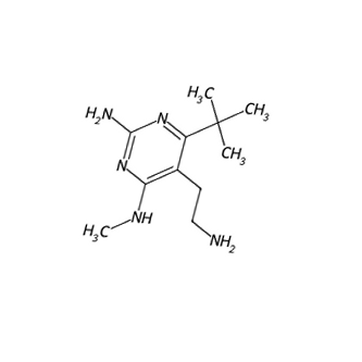 CNc1nc(N)nc(C(C)(C)C)c1CCN